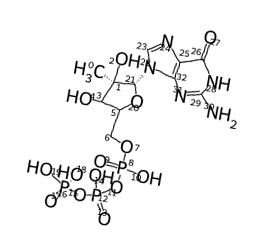 C[C@@]1(O)C(O)C(COP(=O)(O)OP(=O)(O)OP(=O)(O)O)O[C@H]1n1cnc2c(=O)[nH]c(N)nc21